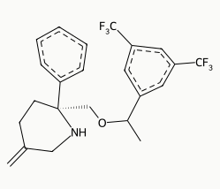 C=C1CC[C@@](COC(C)c2cc(C(F)(F)F)cc(C(F)(F)F)c2)(c2ccccc2)NC1